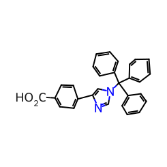 O=C(O)c1ccc(-c2cn(C(c3ccccc3)(c3ccccc3)c3ccccc3)cn2)cc1